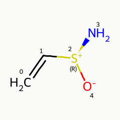 C=C[S@@+](N)[O-]